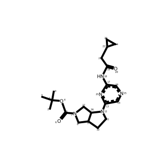 CC(C)(C)OC(=O)N1CC2CCN(c3cncc(NC(=O)CC4CC4)n3)C2C1